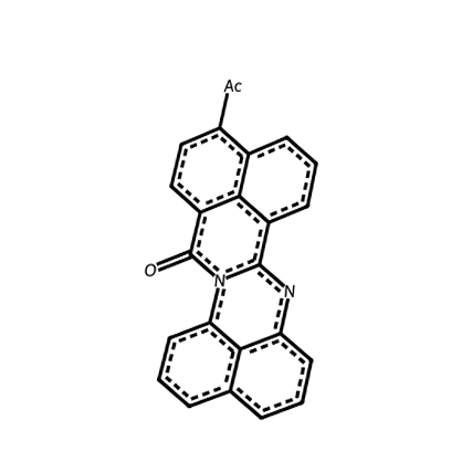 CC(=O)c1ccc2c(=O)n3c4cccc5cccc(nc3c3cccc1c23)c54